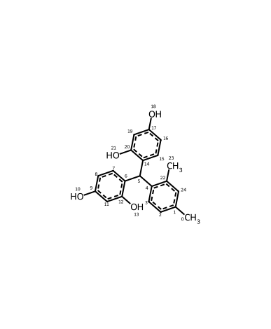 Cc1ccc(C(c2ccc(O)cc2O)c2ccc(O)cc2O)c(C)c1